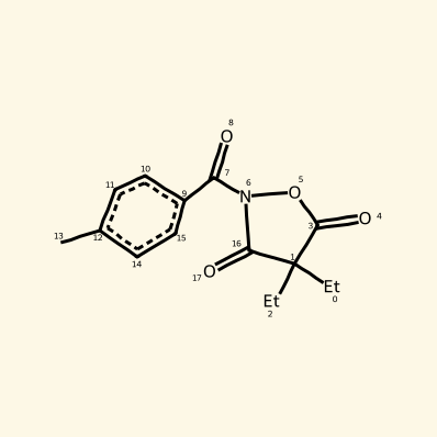 CCC1(CC)C(=O)ON(C(=O)c2ccc(C)cc2)C1=O